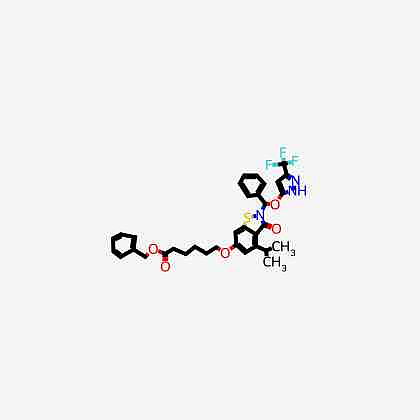 CC(C)c1cc(OCCCCCC(=O)OCc2ccccc2)cc2sn(C(Oc3cc(C(F)(F)F)n[nH]3)c3ccccc3)c(=O)c12